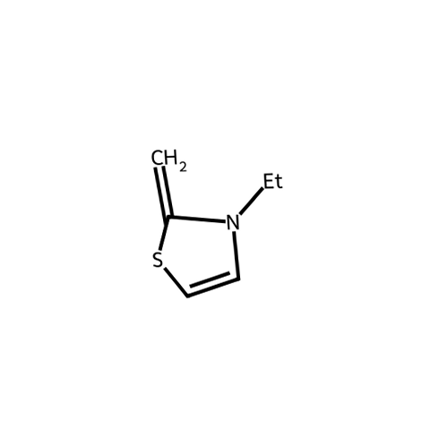 C=C1SC=CN1CC